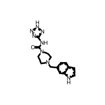 O=C(Nc1nn[nH]n1)N1CCN(Cc2ccc3cc[nH]c3c2)CC1